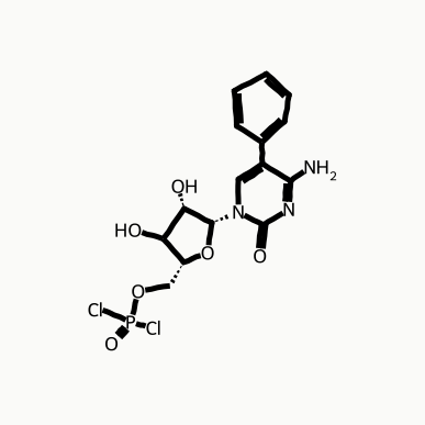 Nc1nc(=O)n([C@@H]2O[C@H](COP(=O)(Cl)Cl)C(O)[C@@H]2O)cc1-c1ccccc1